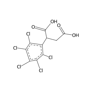 O=C(O)CC(C(=O)O)c1c(Cl)c(Cl)c(Cl)c(Cl)c1Cl